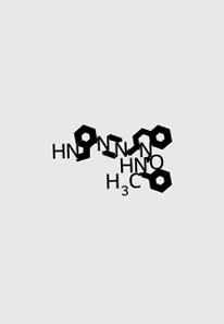 CC(NC(=O)N1c2ccccc2CCC1CN1CCN(c2cccc3[nH]ccc23)CC1)c1ccccc1